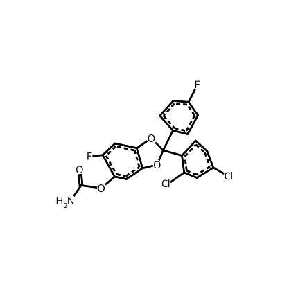 NC(=O)Oc1cc2c(cc1F)OC(c1ccc(F)cc1)(c1ccc(Cl)cc1Cl)O2